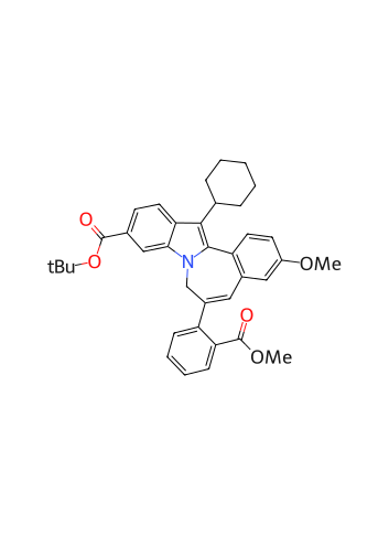 COC(=O)c1ccccc1C1=Cc2cc(OC)ccc2-c2c(C3CCCCC3)c3ccc(C(=O)OC(C)(C)C)cc3n2C1